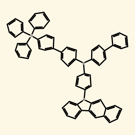 c1ccc(-c2ccc(N(c3ccc(-c4ccc([Si](c5ccccc5)(c5ccccc5)c5ccccc5)cc4)cc3)c3ccc(-n4c5ccccc5c5cc6ccccc6cc54)cc3)cc2)cc1